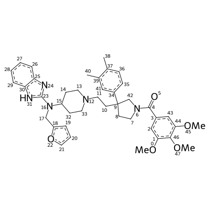 COc1cc(C(=O)N2CCC(CCN3CCC(N(Cc4ccco4)c4nc5ccccc5[nH]4)CC3)(c3ccc(C)c(C)c3)C2)cc(OC)c1OC